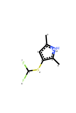 Cc1cc(SC(F)F)c(C)[nH]1